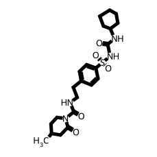 CC1CCN(C(=O)NCCc2ccc(S(=O)(=O)NC(=O)NC3CCCCC3)cc2)C(=O)C1